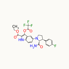 CCOC(=O)c1[nH]c2ccc(N3CC[C@@H](c4ccc(F)cc4)[C@H]3C(N)=O)cc2c1OC(=O)C(F)(F)F